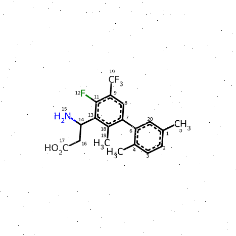 Cc1ccc(C)c(-c2cc(C(F)(F)F)c(F)c(C(N)CC(=O)O)c2C)c1